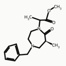 COC(=O)C(C)N1CCN(Cc2ccccc2)C[C@H](C)C1=O